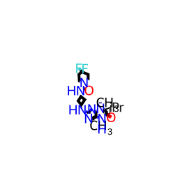 Cc1nc(N[C@H]2C[C@H](NC(=O)N3CCC(F)(F)CC3)C2)nc2c1NC(=O)[C@H](C(C)C)N2C